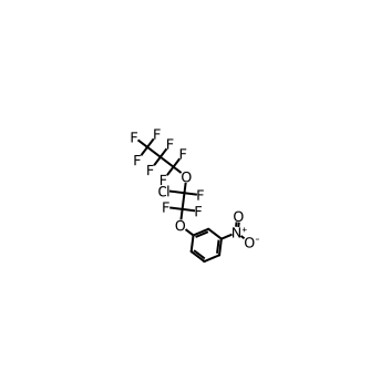 O=[N+]([O-])c1cccc(OC(F)(F)C(F)(Cl)OC(F)(F)C(F)(F)C(F)(F)F)c1